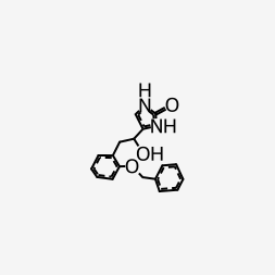 O=c1[nH]cc(C(O)Cc2ccccc2OCc2ccccc2)[nH]1